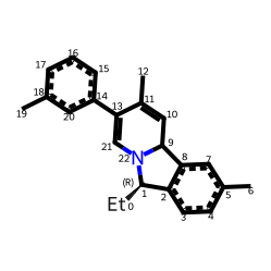 CC[C@@H]1c2ccc(C)cc2C2C=C(C)C(c3cccc(C)c3)=CN21